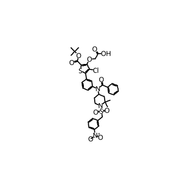 CC(C)(C)OC(=O)c1sc(-c2cccc(N(C(=O)c3ccccc3)C3CCN(S(=O)(=O)Cc4cccc([N+](=O)[O-])c4)C(C)(C)C3)c2)c(Cl)c1OCC(=O)O